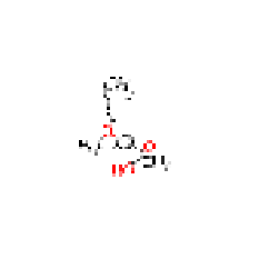 CCCCCOc1ccc(C(=O)C(C)=CO)cc1CC